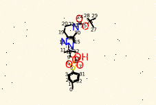 Cc1ccc(S(=O)(=O)OCC(C)(CO)n2cc3c(n2)CCCN(C(=O)OC(C)(C)C)C3)cc1